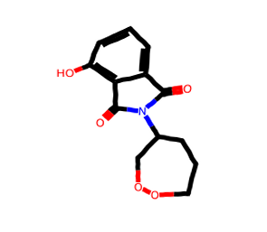 O=C1c2cccc(O)c2C(=O)N1C1CCCOOC1